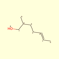 C/C=C/CCC(C)CO